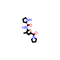 Cc1cc(C(=O)N2CCCC2)sc1NC(=O)[C@@H]1CCCN1